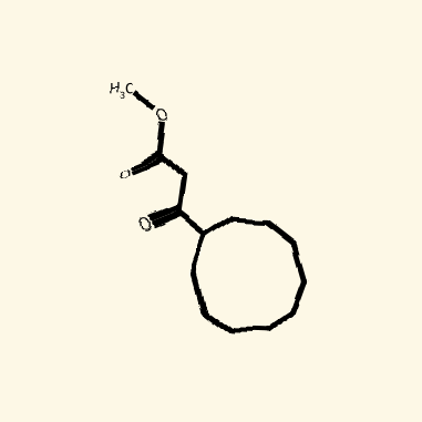 COC(=O)CC(=O)C1CCCCCCCCC1